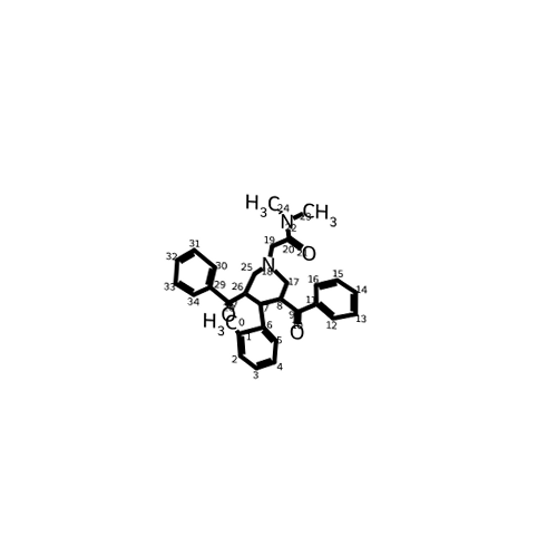 Cc1ccccc1C1C(C(=O)c2ccccc2)CN(CC(=O)N(C)C)CC1C(=O)c1ccccc1